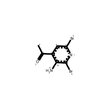 CC(=O)c1cc(Br)nc(Br)c1N